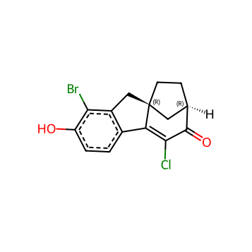 O=C1C(Cl)=C2c3ccc(O)c(Br)c3C[C@]23CC[C@@H]1C3